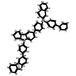 c1ccc(-c2ccc(N(c3ccc(-c4ccc5c(c4)c4ccccc4n5-c4ccc(-c5ccc6sc7ccccc7c6c5)cc4)cc3)c3ccc4ccccc4c3)cc2)cc1